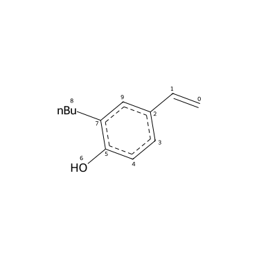 C=Cc1ccc(O)c(CCCC)c1